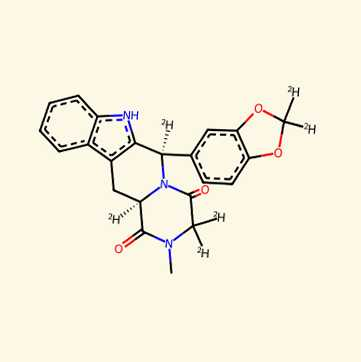 [2H]C1([2H])Oc2ccc([C@]3([2H])c4[nH]c5ccccc5c4C[C@]4([2H])C(=O)N(C)C([2H])([2H])C(=O)N34)cc2O1